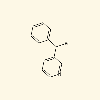 Br[C](c1ccccc1)c1cccnc1